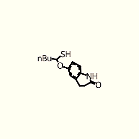 CCCCC(S)Oc1ccc2c(c1)CCC(=O)N2